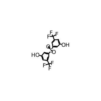 O=S(=O)(c1cc(O)cc(C(F)(F)F)c1)c1cc(O)cc(C(F)(F)F)c1